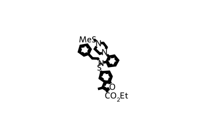 CCOC(=O)c1oc2ccc(SN(CCc3ccccc3)c3ccccc3N3CCN(SC)CC3)cc2c1C